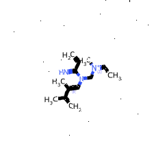 C=CC(=N)N(/C=C(\C)C(=C)C)C/[N+](C)=C\C